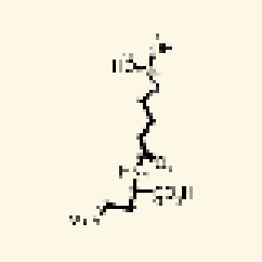 CSCCC(NC(=O)CCCON(O)O)C(=O)O